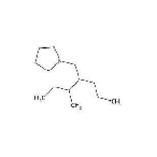 CCCC(CN1CCCC1)C(C)CC